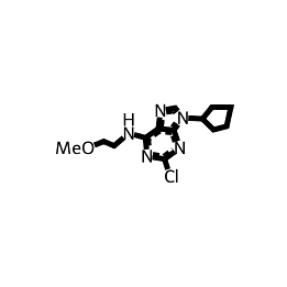 COCCNc1nc(Cl)nc2c1ncn2C1CCCC1